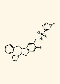 Cn1cnc(S(=O)(=O)NCc2cc3c(cc2F)CC(N2CCC2)C3Cc2ccccc2)c1